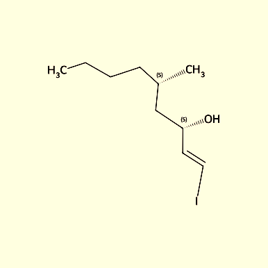 CCCC[C@H](C)C[C@H](O)C=CI